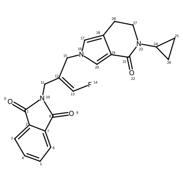 O=C1c2ccccc2C(=O)N1CC(=CF)Cn1cc2c(c1)C(=O)N(C1CC1)CC2